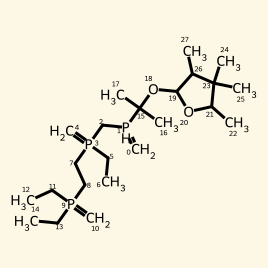 C=[PH](CP(=C)(CC)CCP(=C)(CC)CC)C(C)(C)OC1OC(C)C(C)(C)C1C